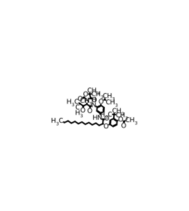 CCCCCCCCCCCCC(Oc1ccc(OC(C)=O)c(C(C)(C)C)c1)C(=O)Nc1ccc(OC(C)C)c(NC(=O)C(C(=O)C(C)(C)C)N2C(=O)OC(C)(C)C2=O)c1